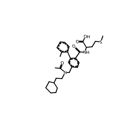 CSCCC(NC(=O)c1ccc(CN(CCC2CCCCC2)C(C)=O)cc1-c1ccccc1C)C(=O)O